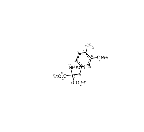 CCOC(=O)C(Cc1ccc(C(F)(F)F)c(OC)c1)(NC(C)=O)C(=O)OCC